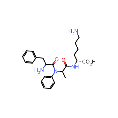 CC(C(=O)N[C@H](CCCCN)C(=O)O)N(C(=O)C(N)Cc1ccccc1)c1ccccc1